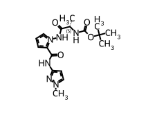 C[C@H](NC(=O)OC(C)(C)C)C(=O)Nn1cccc1C(=O)Nc1ccn(C)n1